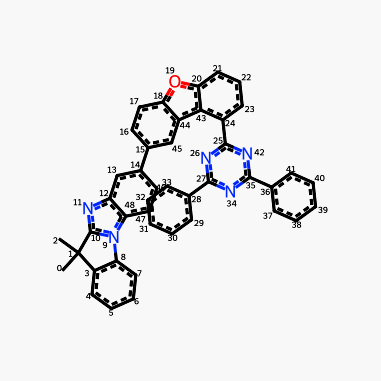 CC1(C)c2ccccc2-n2c1nc1cc(-c3ccc4oc5cccc(-c6nc(-c7ccccc7)nc(-c7ccccc7)n6)c5c4c3)ccc12